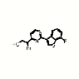 OCC(Br)c1ccnc(-c2csc3c(F)cccc23)n1